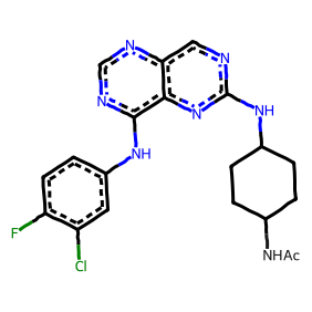 CC(=O)NC1CCC(Nc2ncc3ncnc(Nc4ccc(F)c(Cl)c4)c3n2)CC1